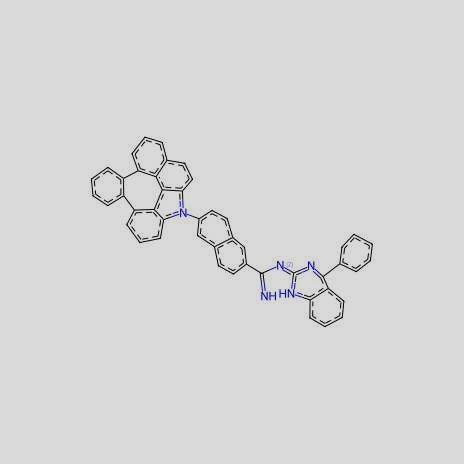 N=C(/N=c1/nc(-c2ccccc2)c2ccccc2[nH]1)c1ccc2cc(-n3c4cccc5c4c4c6c(cccc6ccc43)-c3ccccc3-5)ccc2c1